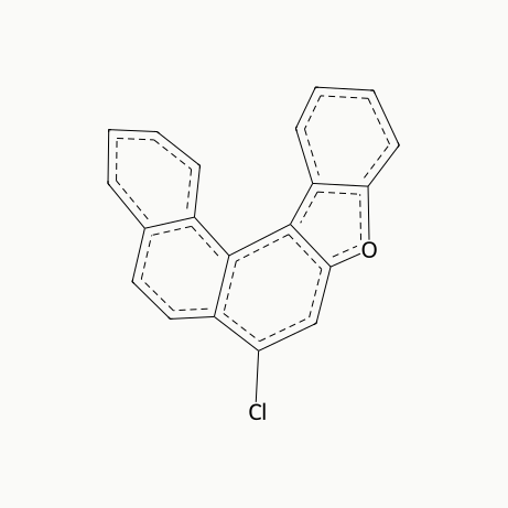 Clc1cc2oc3ccccc3c2c2c1ccc1ccccc12